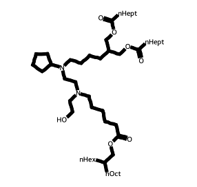 CCCCCCCCC(CCCCCC)COC(=O)CCCCCN(CCO)CCN(CCCCC(COC(=O)CCCCCCC)COC(=O)CCCCCCC)C1CCCC1